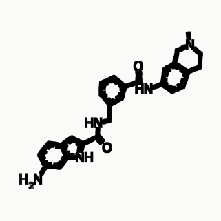 CN1CCc2ccc(NC(=O)c3cccc(CNC(=O)c4cc5ccc(N)cc5[nH]4)c3)cc2C1